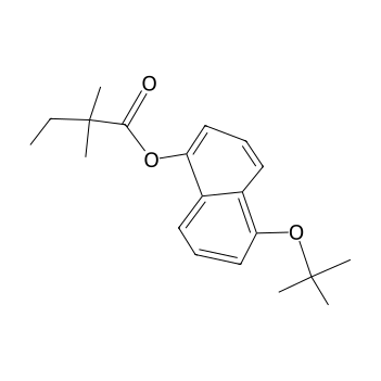 CCC(C)(C)C(=O)Oc1cccc2c(OC(C)(C)C)cccc12